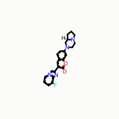 O=c1oc2cc(N3CCN4CCC[C@@H]4C3)ccc2cc1-c1cn2cccc(F)c2n1